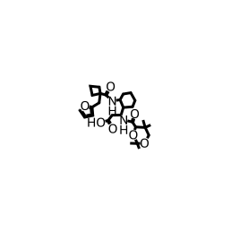 CC1(C)OCC(C)(C)C(C(=O)NC(CC(=O)O)C2CCCCC2NC(=O)C2(Cc3ccco3)CCC2)O1